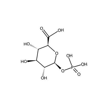 O=C(O)[C@H]1O[C@@H](OP(=O)(O)O)[C@H](O)[C@@H](O)[C@@H]1O